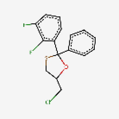 Fc1cccc(C2(c3ccccc3)OC(CCl)CS2)c1F